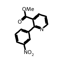 COC(=O)c1cccnc1-c1cccc([N+](=O)[O-])c1